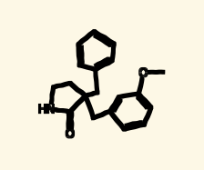 COc1cccc(CC2(Cc3ccccc3)CCNC2=O)c1